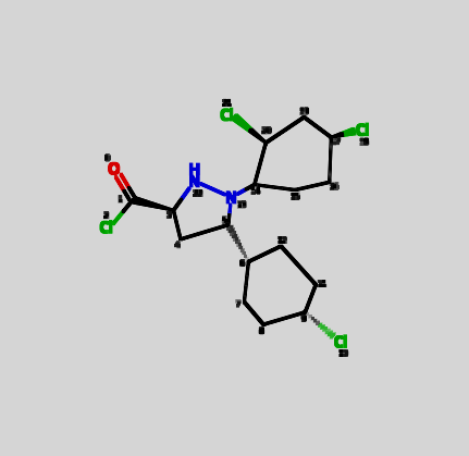 O=C(Cl)[C@@H]1CC([C@H]2CC[C@@H](Cl)CC2)N(C2CC[C@H](Cl)C[C@@H]2Cl)N1